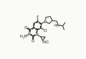 CC(C)NCC1CCN(c2c(F)cc3c(=O)n(N)c(=O)n(C4CC4)c3c2Cl)C1.Cl